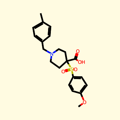 COc1ccc(S(=O)(=O)C2(C(=O)O)CCN(Cc3ccc(C)cc3)CC2)cc1